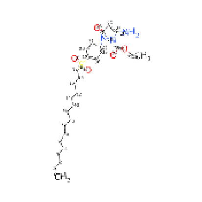 CCCCCCCCCCCCCCCCS(=O)(=O)c1ccc(-n2c(=O)cc(N)n2C(=O)OCC)cc1